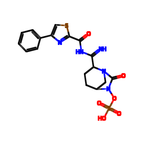 N=C(NC(=O)c1nc(-c2ccccc2)cs1)C1CCC2CN1C(=O)N2OS(=O)(=O)O